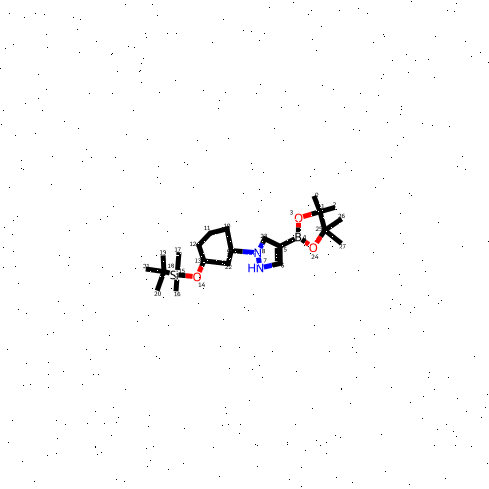 CC1(C)OB(C2=CNN(C3CCCC(O[Si](C)(C)C(C)(C)C)C3)C2)OC1(C)C